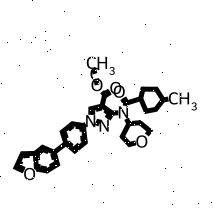 CCOC(=O)c1cn(-c2ccc(-c3ccc4occc4c3)cc2)nc1N(C(=O)C1CCC(C)CC1)C1CCOCC1